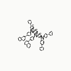 c1ccc(-c2ccc(N(c3ccc(-c4ccccc4)cc3)c3cc4c(s3)c3sc5c6sc(-c7ccccc7)cc6n(-c6ccc(-c7ccc8ccccc8c7)cc6)c5c3n4-c3ccc(-c4cccc5ccccc45)cc3)cc2)cc1